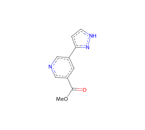 COC(=O)c1cncc(-c2cc[nH]n2)c1